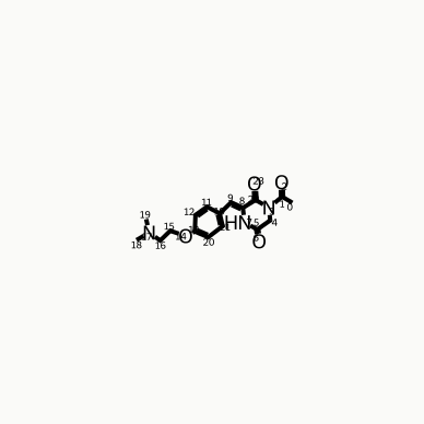 CC(=O)N1CC(=O)N/C(=C\c2ccc(OCCN(C)C)cc2)C1=O